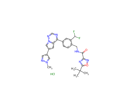 Cl.Cn1cc(-c2cc3c(-c4ccc(CNC(=O)c5noc(C(C)(C)C)n5)c(C(F)F)c4)ncnn3c2)cn1